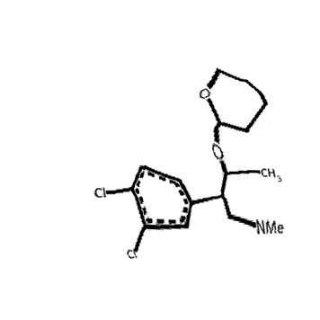 CNCC(c1ccc(Cl)c(Cl)c1)C(C)OC1CCCCO1